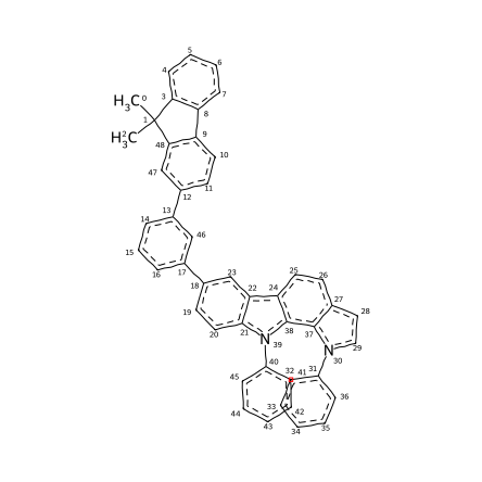 CC1(C)c2ccccc2-c2ccc(-c3cccc(-c4ccc5c(c4)c4ccc6ccn(-c7ccccc7)c6c4n5-c4ccccc4)c3)cc21